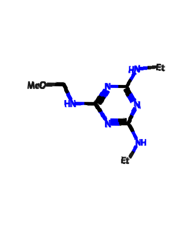 CCNc1nc(NCC)nc(NCOC)n1